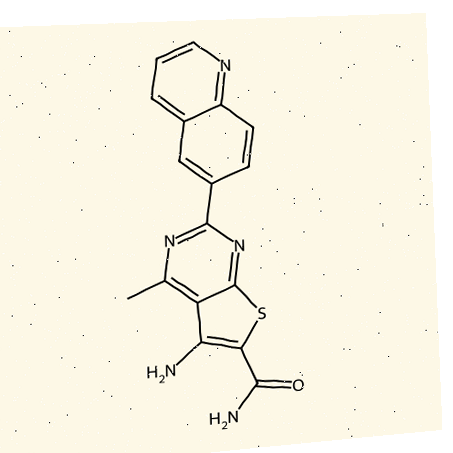 Cc1nc(-c2ccc3ncccc3c2)nc2sc(C(N)=O)c(N)c12